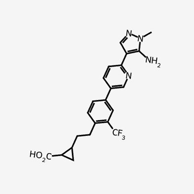 Cn1ncc(-c2ccc(-c3ccc(CCC4CC4C(=O)O)c(C(F)(F)F)c3)cn2)c1N